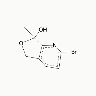 CC1(O)OCc2ccc(Br)nc21